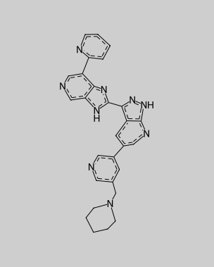 c1ccc(-c2cncc3[nH]c(-c4n[nH]c5ncc(-c6cncc(CN7CCCCC7)c6)cc45)nc23)nc1